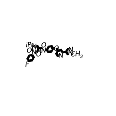 CC(C)n1cc(C(=O)Nc2ccc(Oc3ccnc(-c4cnn(C)c4)c3)cc2)c(=O)n(-c2ccc(F)cc2)c1=O